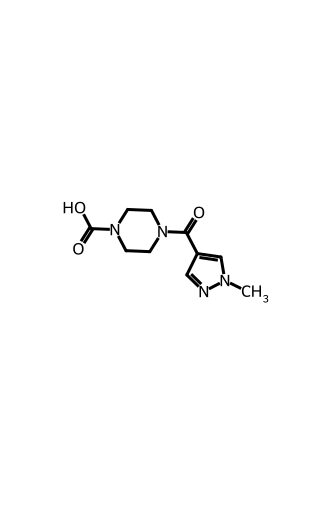 Cn1cc(C(=O)N2CCN(C(=O)O)CC2)cn1